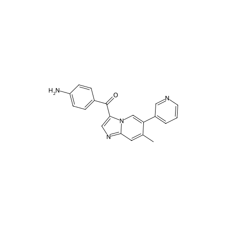 Cc1cc2ncc(C(=O)c3ccc(N)cc3)n2cc1-c1cccnc1